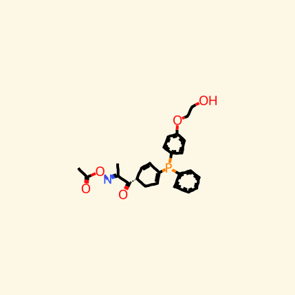 CC(=O)O/N=C(\C)C(=O)[C@@H]1C=CC(P(c2ccccc2)c2ccc(OCCO)cc2)=CC1